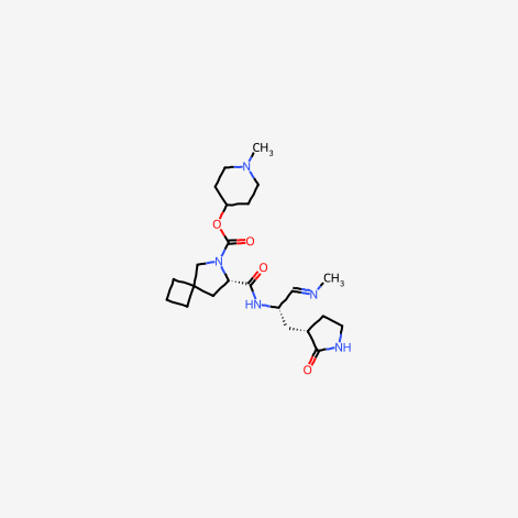 CN=C[C@H](C[C@@H]1CCNC1=O)NC(=O)[C@@H]1CC2(CCC2)CN1C(=O)OC1CCN(C)CC1